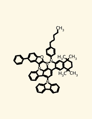 CCCCCc1ccc(N2B3c4oc5ccc(-c6ccccc6)cc5c4-n4c5ccccc5c5c(-n6c7ccccc7c7ccccc76)cc(c3c54)-c3cc4c(cc32)C(C)(C)CCC4(C)C)cc1